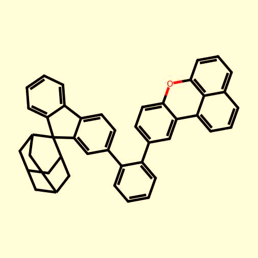 c1ccc(-c2ccc3c(c2)C2(c4ccccc4-3)C3CC4CC(C3)CC2C4)c(-c2ccc3c(c2)-c2cccc4cccc(c24)O3)c1